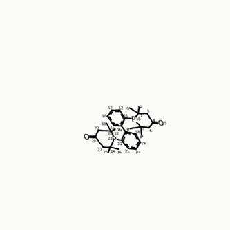 CC1(C)CC(=O)CC(C)(C)P1c1ccccc1-c1ccccc1P1C(C)(C)CC(=O)CC1(C)C